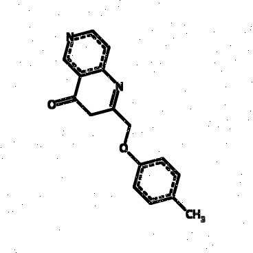 Cc1ccc(OCC2=Nc3ccncc3C(=O)C2)cc1